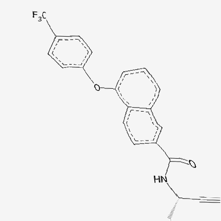 C#C[C@H](C)NC(=O)c1ccc2c(Oc3ccc(C(F)(F)F)cc3)cccc2c1